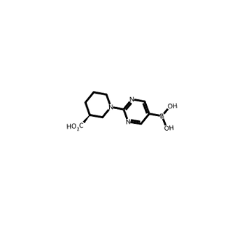 O=C(O)[C@H]1CCCN(c2ncc(B(O)O)cn2)C1